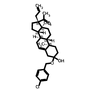 C=CC[C@]1(C(C)=O)CC[C@H]2[C@@H]3CC=C4CC(O)(OCc5ccc(Cl)cc5)CC[C@]4(C)[C@H]3CC[C@@]21C